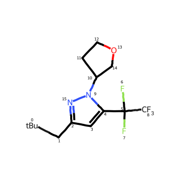 CC(C)(C)Cc1cc(C(F)(F)C(F)(F)F)n(C2CCOC2)n1